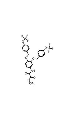 COC(=O)C(=O)Nc1ccc(OCc2ccc(OC(F)(F)F)cc2)c(OCc2ccc(OC(F)(F)F)cc2)c1